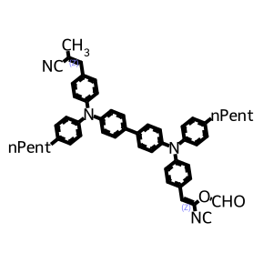 [C-]#[N+]/C(=C/c1ccc(N(c2ccc(CCCCC)cc2)c2ccc(-c3ccc(N(c4ccc(/C=C(/C)C#N)cc4)c4ccc(CCCCC)cc4)cc3)cc2)cc1)OC=O